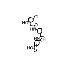 CC1(NC(=O)c2cccc(NC(=O)Cc3cc(Cl)ccc3O)c2)CCN(C(=O)O)CC1